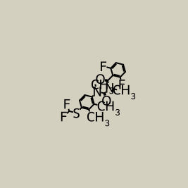 Cc1c(SC(F)F)ccc(N(C)C(=O)N(C)C(=O)c2c(F)cccc2F)c1C